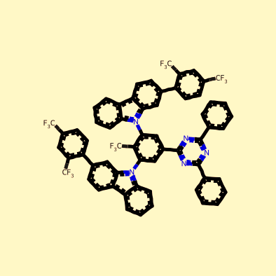 FC(F)(F)c1ccc(-c2ccc3c4ccccc4n(-c4cc(-c5nc(-c6ccccc6)nc(-c6ccccc6)n5)cc(-n5c6ccccc6c6ccc(-c7ccc(C(F)(F)F)cc7C(F)(F)F)cc65)c4C(F)(F)F)c3c2)c(C(F)(F)F)c1